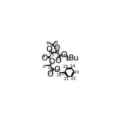 CC(OC(=O)[C@H]1OC(C)(C)O[C@@H]1C(=O)OC(C)(C)C)C(=O)OCc1ccccc1